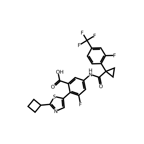 O=C(O)c1cc(NC(=O)C2(c3ccc(C(F)(F)F)cc3F)CC2)cc(F)c1-c1cnc(C2CCC2)s1